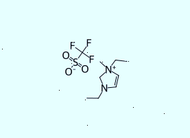 CCN1C=C[N+](C)(CC)C1.O=S(=O)([O-])C(F)(F)F